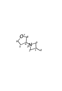 CC1CN(C2CCOC2)C1